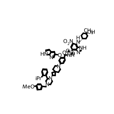 COc1ccc(CN2CCN(C3CC4(CCN(c5ccc(C(=O)NS(=O)(=O)c6cc([N+](=O)[O-])c(NC[C@H]7CC[C@](C)(O)CC7)c7[nH]cnc67)c(Oc6cnc7[nH]ccc7c6)c5)CC4)C3)C(c3ccccc3C(C)C)C2)cc1